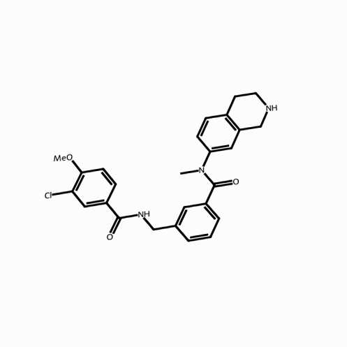 COc1ccc(C(=O)NCc2cccc(C(=O)N(C)c3ccc4c(c3)CNCC4)c2)cc1Cl